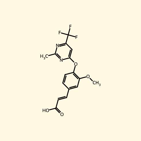 COc1cc(C=CC(=O)O)ccc1Oc1cc(C(F)(F)F)nc(C)n1